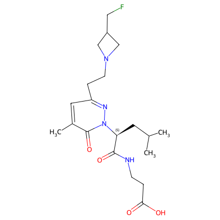 Cc1cc(CCN2CC(CF)C2)nn([C@@H](CC(C)C)C(=O)NCCC(=O)O)c1=O